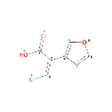 O=C(O)C(=CCl)c1ccoc1